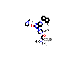 CCOC(=O)/C(=C\C(=O)N1CCN(c2nc(OC[C@@H]3CCCN3C)nc3c2CCN(c2cccc4cccc(C)c24)C3)C[C@@H]1CC#N)N(C)C